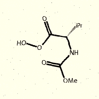 COC(=O)N[C@H](C(=O)OO)C(C)C